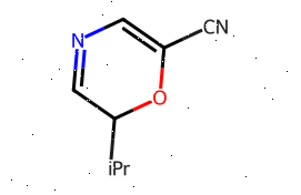 CC(C)C1C=NC=C(C#N)O1